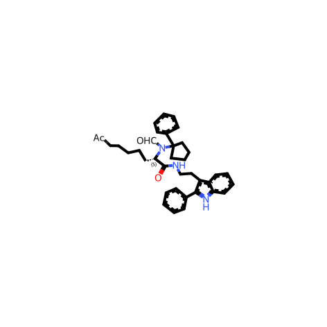 CC(=O)CCCCC[C@@H](C(=O)NCCc1c(-c2ccccc2)[nH]c2ccccc12)N(C=O)C1(c2ccccc2)CCCC1